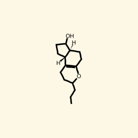 CCCC1CCC2=C(CC[C@@H]3C(O)CC[C@@H]23)O1